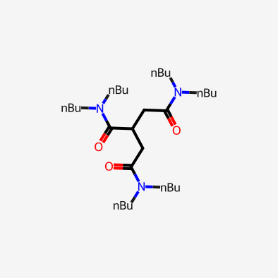 CCCCN(CCCC)C(=O)CC(CC(=O)N(CCCC)CCCC)C(=O)N(CCCC)CCCC